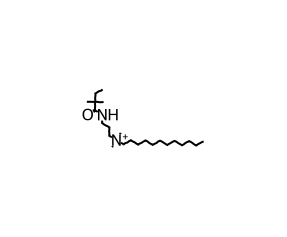 CCCCCCCCCCCC[N+](C)(C)CCCNC(=O)C(C)(C)CC